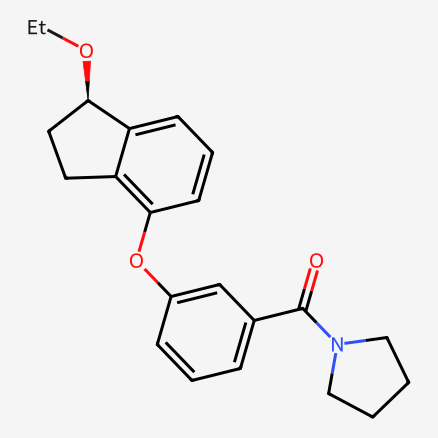 CCO[C@@H]1CCc2c(Oc3cccc(C(=O)N4CCCC4)c3)cccc21